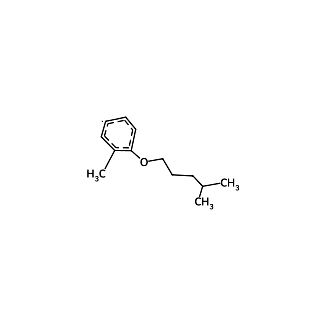 Cc1c[c]ccc1OCCCC(C)C